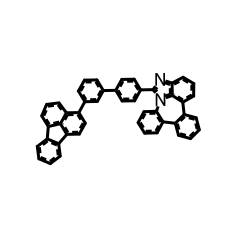 c1cc(-c2ccc(-c3nc4cccc5c4n3-c3ccccc3-c3ccccc3-5)cc2)cc(-c2ccc3c4c(cccc24)-c2ccccc2-3)c1